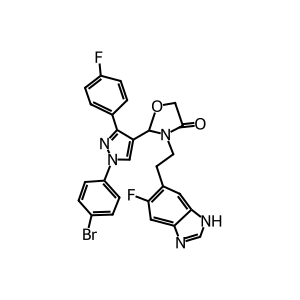 O=C1COC(c2cn(-c3ccc(Br)cc3)nc2-c2ccc(F)cc2)N1CCc1cc2[nH]cnc2cc1F